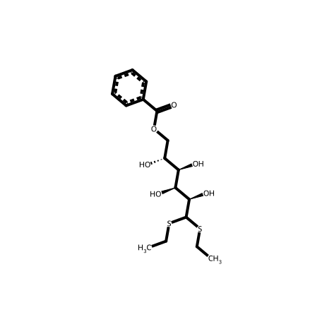 CCSC(SCC)[C@H](O)[C@@H](O)[C@H](O)[C@H](O)COC(=O)c1ccccc1